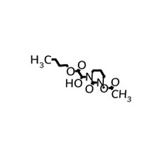 CCCCOC(=O)C(O)N1CCCN(OC(C)=O)C1=O